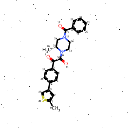 Cc1cc(-c2ccc(C(=O)C(=O)N3CCN(C(=O)c4ccccc4)C[C@H]3C)cc2)cs1